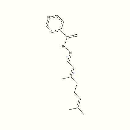 CC(C)=CCC/C(C)=C/C=N/NC(=O)c1ccncc1